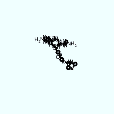 B[P@]1(=O)OC[C@H]2O[C@@H](n3cnc4c(N)ccnc43)[C@H](F)[C@@H]2O[P@@](=O)(SCc2ccc(OC(=O)c3ccc(OCCn4nnc5c4-c4ccccc4N(C)Cc4ccccc4-5)cc3)cc2)OC[C@H]2O[C@@H](n3cnc4c(N)ncnc43)[C@H](F)[C@@H]2O1